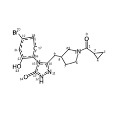 O=C(C1CC1)N1CCC(Cc2n[nH]c(=O)n2-c2ccc(Br)cc2O)C1